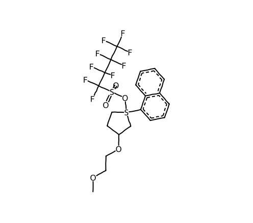 COCCOC1CCS(OS(=O)(=O)C(F)(F)C(F)(F)C(F)(F)C(F)(F)F)(c2cccc3ccccc23)C1